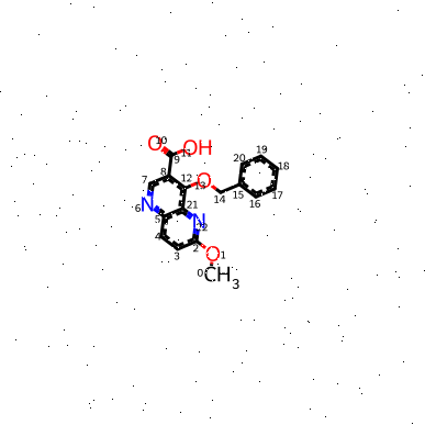 COc1ccc2ncc(C(=O)O)c(OCc3ccccc3)c2n1